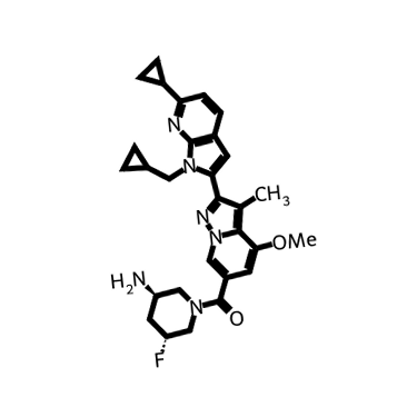 COc1cc(C(=O)N2C[C@H](N)C[C@@H](F)C2)cn2nc(-c3cc4ccc(C5CC5)nc4n3CC3CC3)c(C)c12